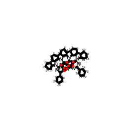 C1=CC2c3ccc4c5ccc6c7ccccc7n(-c7nccc(-c8ccccc8)n7)c6c5n(-c5ccccc5)c4c3N(c3ccccc3)C2c2c1c1ccccc1n2-c1nc(-c2ccccc2)nc(-c2ccccc2)n1